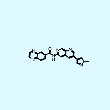 Cn1cc(-c2cnc3cnc(NC(=O)c4ccc5nccnc5c4)cc3c2)cn1